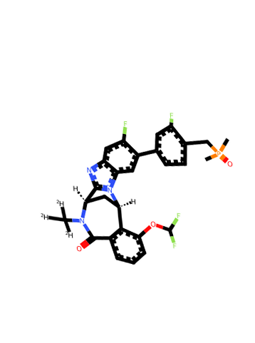 [2H]C([2H])([2H])N1C(=O)c2cccc(OC(F)F)c2[C@H]2C[C@@H]1c1nc3cc(F)c(-c4ccc(CP(C)(C)=O)c(F)c4)cc3n12